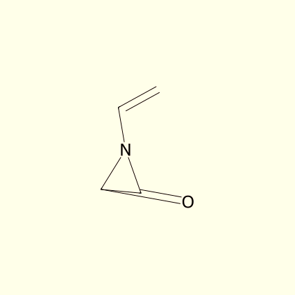 C=CN1CC1=O